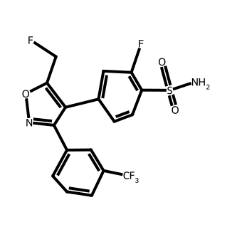 NS(=O)(=O)c1ccc(-c2c(-c3cccc(C(F)(F)F)c3)noc2CF)cc1F